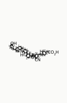 Cc1c(Nc2nccc3cc(CN4CC[C@@H](O)C4)cnc23)cccc1-c1cccc(-c2nc3cc(CNC4CCC(CC(=O)O)CC4)cc(C#N)c3o2)c1C